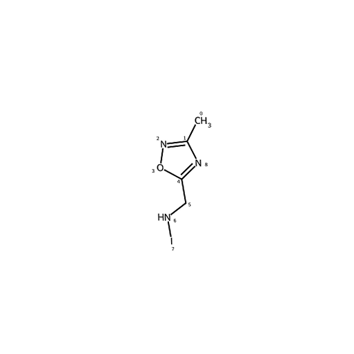 Cc1noc(CNI)n1